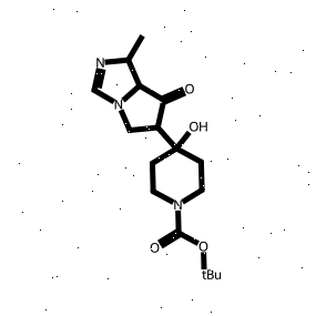 CC1N=CN2CC(C3(O)CCN(C(=O)OC(C)(C)C)CC3)C(=O)C12